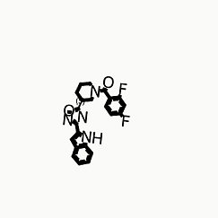 O=C(c1ccc(F)cc1F)N1CCC[C@H](c2nc(-c3cc4ccccc4[nH]3)no2)C1